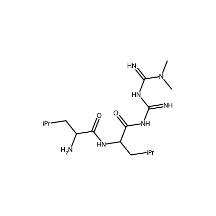 CC(C)CC(N)C(=O)NC(CC(C)C)C(=O)NC(=N)NC(=N)N(C)C